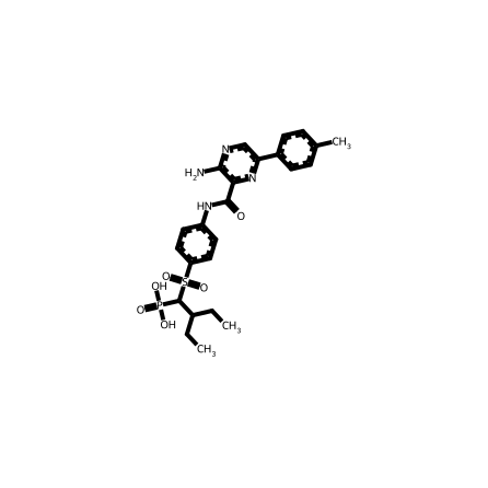 CCC(CC)C(P(=O)(O)O)S(=O)(=O)c1ccc(NC(=O)c2nc(-c3ccc(C)cc3)cnc2N)cc1